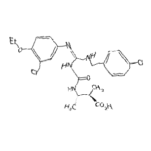 CCOc1ccc(/N=C(/NCc2ccc(Cl)cc2)NC(=O)N[C@@H](C)[C@@H](C)C(=O)O)cc1Cl